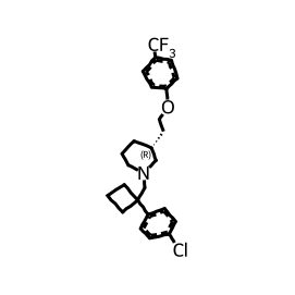 FC(F)(F)c1ccc(OCC[C@H]2CCCN(CC3(c4ccc(Cl)cc4)CCC3)C2)cc1